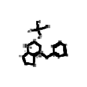 F[B-](F)(F)F.c1ccc(C[N+]2=C3CCCC3NCC2)cc1